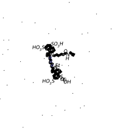 C#CCNC(=O)CCCCCN1\C(=C/C=C/C=C/C2=[N+](CC)c3ccc4c(SOOO)cc(S(=O)(=O)O)cc4c3C2(C)C)C(C)(C)c2c1ccc1c(S(=O)(=O)O)cc(S(=O)(=O)O)cc21